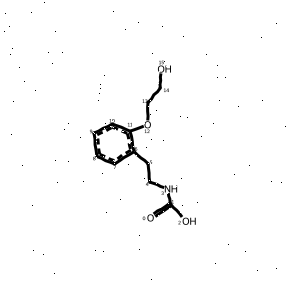 O=C(O)NCCc1ccccc1OCCO